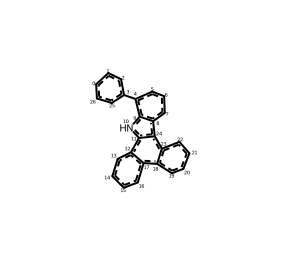 c1ccc(-c2cccc3c2[nH]c2c4ccccc4c4ccccc4c32)cc1